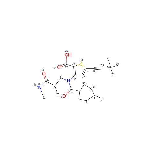 CC1CCC(C(=O)N(CC(C)C(=O)N(C)C)c2cc(C#CC(C)(C)C)sc2C(=O)O)CC1